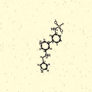 CS(=O)(=O)Nc1cccc(-c2cncc(NCc3ccoc3)c2)c1